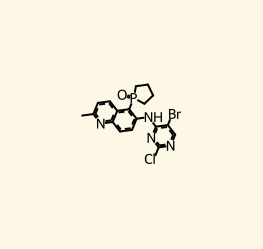 Cc1ccc2c(P3(=O)CCCC3)c(Nc3nc(Cl)ncc3Br)ccc2n1